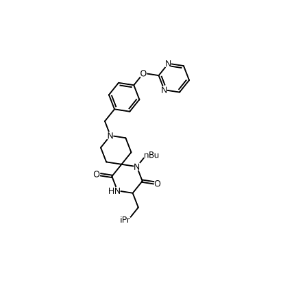 CCCCN1C(=O)C(CC(C)C)NC(=O)C12CCN(Cc1ccc(Oc3ncccn3)cc1)CC2